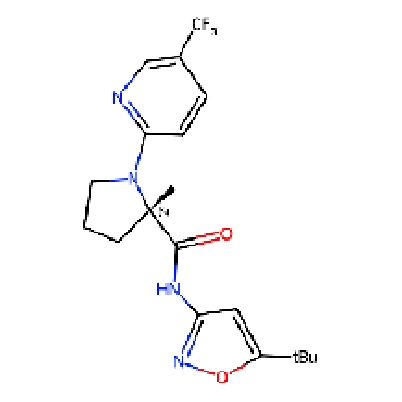 CC(C)(C)c1cc(NC(=O)[C@]2(C)CCCN2c2ccc(C(F)(F)F)cn2)no1